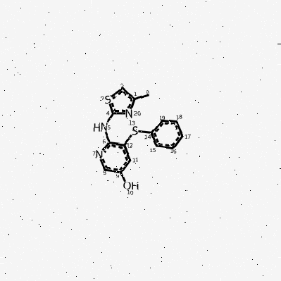 Cc1csc(Nc2ncc(O)cc2Sc2ccccc2)n1